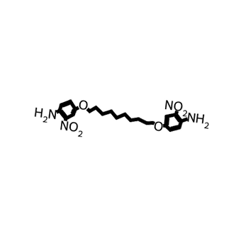 Nc1ccc(OCCCCCCCCCCOc2ccc(N)c([N+](=O)[O-])c2)cc1[N+](=O)[O-]